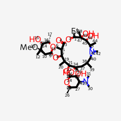 CCC1OC(=O)C(C)C(O[C@H]2C[C@@](C)(OC)[C@@H](O)[C@H](C)O2)C(C)C(O[C@@H]2O[C@H](C)C[C@H](N(C)C)[C@H]2O)C(C)(O)CC(C)CN(C)C(C)C(O)C1(C)O